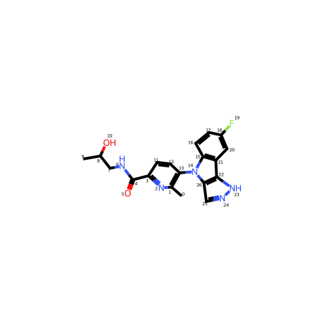 Cc1nc(C(=O)NCC(C)O)ccc1-n1c2ccc(F)cc2c2[nH]ncc21